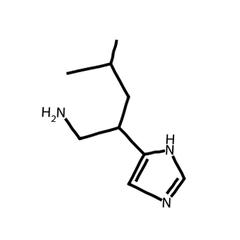 CC(C)CC(CN)c1cnc[nH]1